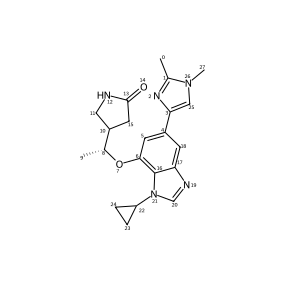 Cc1nc(-c2cc(O[C@H](C)C3CNC(=O)C3)c3c(c2)ncn3C2CC2)cn1C